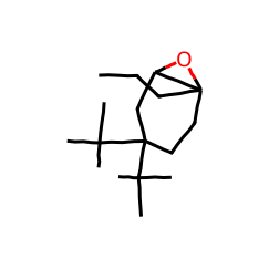 CCCC12CCC(C(C)(C)C)(C(C)(C)C)CC1O2